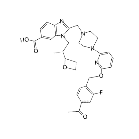 CC(=O)c1ccc(COc2cccc(N3CCN(Cc4nc5ccc(C(=O)O)cc5n4C[C@@H](C)C4CCO4)CC3)n2)c(F)c1